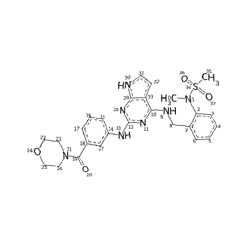 CN(c1ccccc1CNc1nc(Nc2cccc(C(=O)N3CCOCC3)c2)nc2[nH]ccc12)S(C)(=O)=O